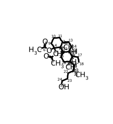 CC(=O)OC1(OC(C)=O)CCCC2=CC[C@H]3[C@@H]4CC[C@H]([C@H](C)CCCO)[C@@]4(C)CC[C@@H]3[C@]21C